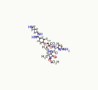 CC1(C)[C@H](NC(=O)/C(=N\O[C@](C)(C(=O)O)[C@H]2CCc3cc(C(=N)NC4CC5(CNC5)C4)ccc3O2)c2csc(N)n2)C(=O)N1OS(=O)(=O)O